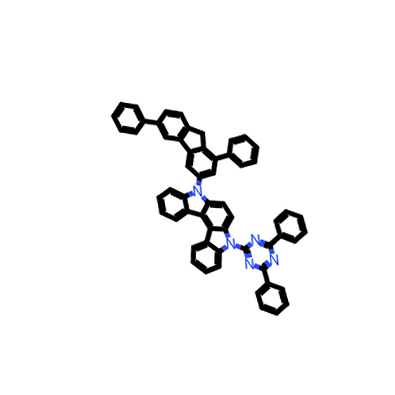 c1ccc(-c2ccc3c(c2)-c2cc(-n4c5ccccc5c5c6c7ccccc7n(-c7nc(-c8ccccc8)nc(-c8ccccc8)n7)c6ccc54)cc(-c4ccccc4)c2C3)cc1